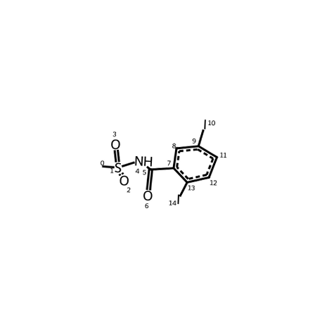 CS(=O)(=O)NC(=O)c1cc(I)ccc1I